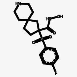 O=C(NO)C1(S(=O)(=O)c2ccc(F)cc2)CCC2(CCNCC2)C1